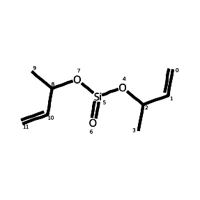 C=CC(C)O[Si](=O)OC(C)C=C